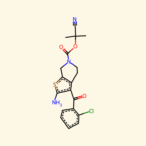 CC(C)(C#N)OC(=O)N1CCc2c(sc(N)c2C(=O)c2ccccc2Cl)C1